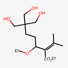 CCOC(=O)C(=C(C)C)C(CCC(CO)(CO)CO)OCC